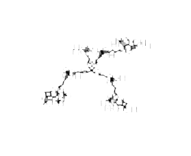 CC(=O)NC1C(O)[C@H]2C(O)CC2O[C@H]1OCCCCOP(=O)(O)OCCCOCC(COCCCOP(=O)(O)O)(COCCCOP(=O)(O)OCCCCO[C@@H]1OC2CC(OC(C)=O)[C@@H]2C(OC(C)=O)C1NC(C)=O)COCCCOP(=O)(O)OCCCCO[C@@H]1OC2CC(O)(O)[C@@H]2C(O)C1NC(C)=O